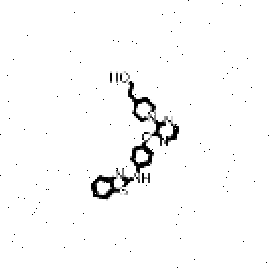 OCCC1CCN(c2nccnc2Oc2ccc(Nc3nc4ccccc4s3)cc2)CC1